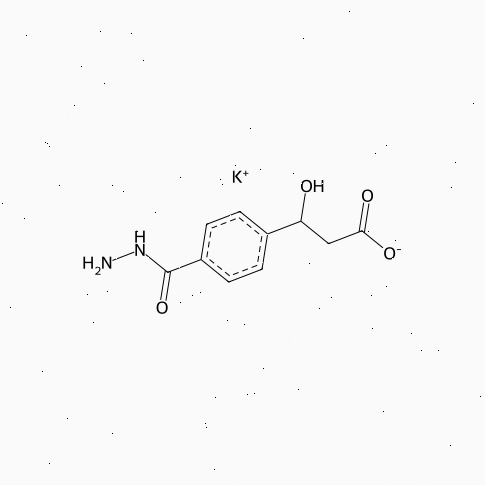 NNC(=O)c1ccc(C(O)CC(=O)[O-])cc1.[K+]